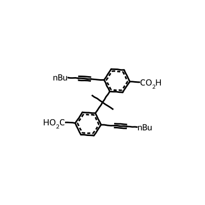 CCCCC#Cc1ccc(C(=O)O)cc1C(C)(C)c1cc(C(=O)O)ccc1C#CCCCC